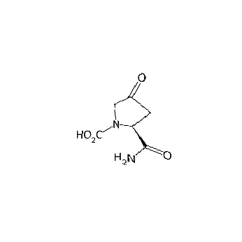 NC(=O)[C@@H]1CC(=O)CN1C(=O)O